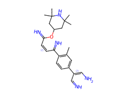 Cc1cc(/C(C=N)=C/N)ccc1C(=N)/C=C\C(=N)OC1CC(C)(C)NC(C)(C)C1